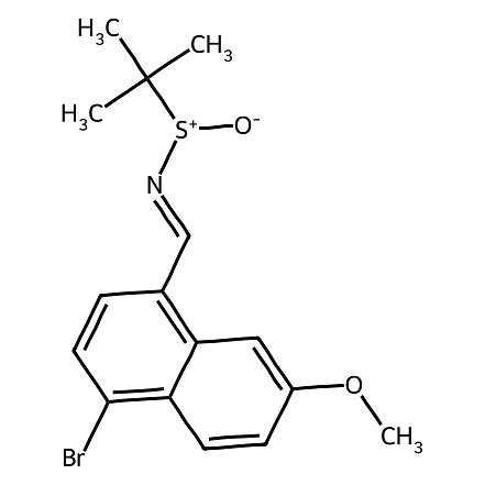 COc1ccc2c(Br)ccc(C=N[S+]([O-])C(C)(C)C)c2c1